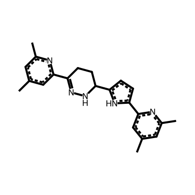 Cc1cc(C)nc(C2=NNC(c3ccc(-c4cc(C)cc(C)n4)[nH]3)CC2)c1